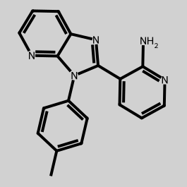 Cc1ccc(-n2c(-c3cccnc3N)nc3cccnc32)cc1